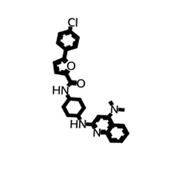 CN(C)c1cc(NC2CCC(NC(=O)c3ccc(-c4ccc(Cl)cc4)o3)CC2)nc2ccccc12